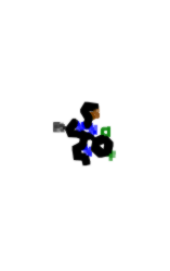 CC[C@H]1CC2=C(C3=NC(C)C=C3)[C@H](c3ccc(F)cc3Cl)N=C(C3CC=CS3)N2C1